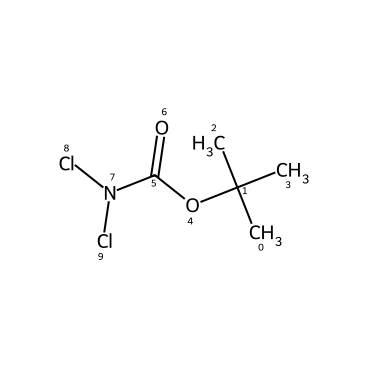 CC(C)(C)OC(=O)N(Cl)Cl